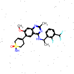 COc1cc2nc(C)nc(NC(C)c3cccc(C(F)F)c3F)c2cc1C1=CCS(=N)(=O)CC1